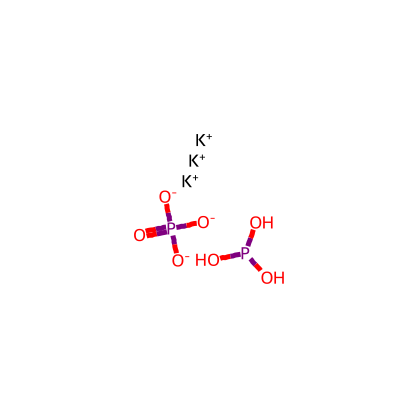 O=P([O-])([O-])[O-].OP(O)O.[K+].[K+].[K+]